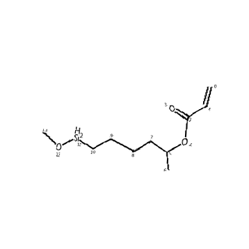 C=CC(=O)OC(C)CCCC[SiH2]OC